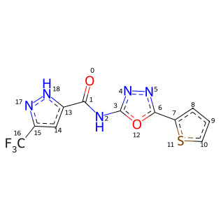 O=C(Nc1nnc(-c2cccs2)o1)c1cc(C(F)(F)F)n[nH]1